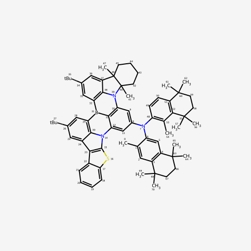 Cc1cc2c(cc1N(c1cc3c4c(c1)-n1c5sc6ccccc6c5c5cc(C(C)(C)C)cc(c51)B4c1cc(C(C)(C)C)cc4c1N3C1(C)CCCCC41C)c1ccc3c(c1C)C(C)(C)CCC3(C)C)C(C)(C)CCC2(C)C